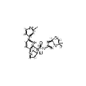 Cc1cc(-c2ccc3c(n2)N(C(=O)Nc2nc4scc(C)n4n2)[C@H]2CCN3C2)ccn1